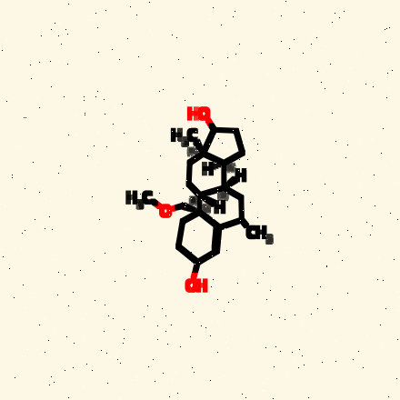 COC[C@]12CCC(O)C=C1C(C)C[C@@H]1[C@H]2CC[C@]2(C)C(O)CC[C@@H]12